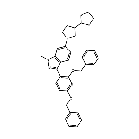 Cn1nc(-c2ccc(OCc3ccccc3)nc2OCc2ccccc2)c2ccc(N3CCC(C4OCCO4)C3)cc21